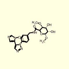 CO[C@@H]1OC(C(=O)NCc2ccc(-n3nncc3-c3cncn3C)cc2)[C@@H](OC)[C@H](O)[C@@H]1O